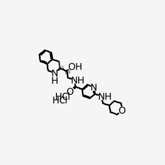 Cl.Cl.O=C(NC[C@@H](O)[C@@H]1Cc2ccccc2CN1)c1ccc(NCC2CCOCC2)nc1